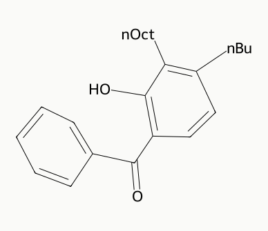 CCCCCCCCc1c(CCCC)ccc(C(=O)c2ccccc2)c1O